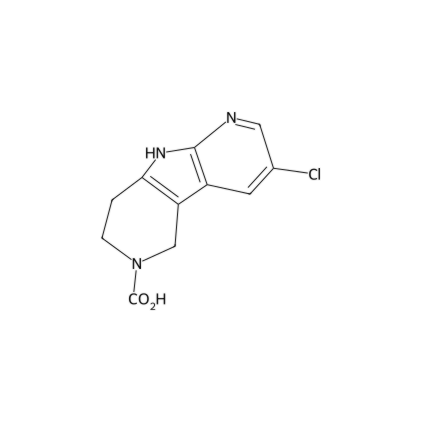 O=C(O)N1CCc2[nH]c3ncc(Cl)cc3c2C1